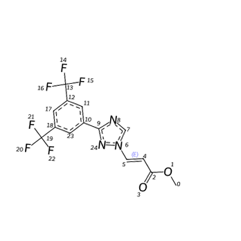 COC(=O)/C=C/n1cnc(-c2cc(C(F)(F)F)cc(C(F)(F)F)c2)n1